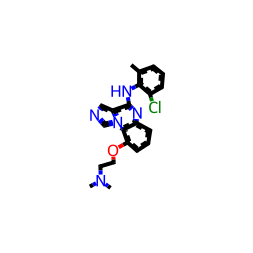 Cc1cccc(Cl)c1Nc1nc2cccc(OCCN(C)C)c2n2cncc12